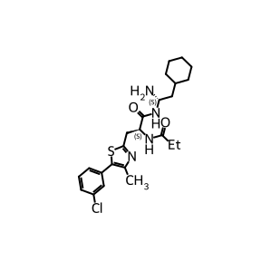 CCC(=O)N[C@@H](Cc1nc(C)c(-c2cccc(Cl)c2)s1)C(=O)N[C@H](N)CC1CCCCC1